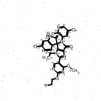 COc1nc(OCCF)ncc1-c1nc2c(n1C(C)C)C1(C(=O)Nc3cc(Cl)ccc31)N(c1cc(Cl)cnc1C)C2=O